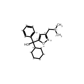 CN(C)Cc1cc(C(O)(c2ccccc2)C2CCCCC2)on1